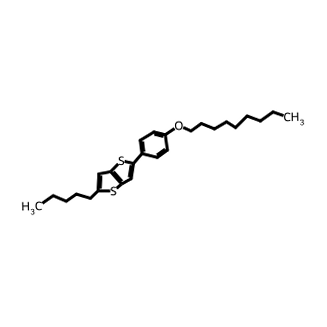 CCCCCCCCCOc1ccc(-c2cc3sc(CCCCC)cc3s2)cc1